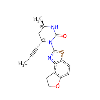 CC#C[C@@H]1C[C@@H](C)NC(=O)N1c1nc2c3c(ccc2s1)OCC3